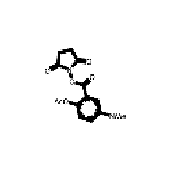 CNc1ccc(OC(C)=O)c(C(=O)ON2C(=O)CCC2=O)c1